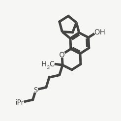 CC(C)CSCCCC1(C)CCc2cc(O)c3c(c2O1)C1CCC3C1